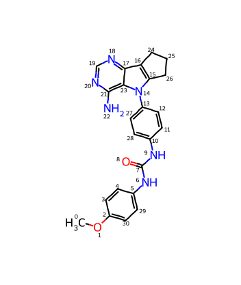 COc1ccc(NC(=O)Nc2ccc(-n3c4c(c5ncnc(N)c53)CCC4)cc2)cc1